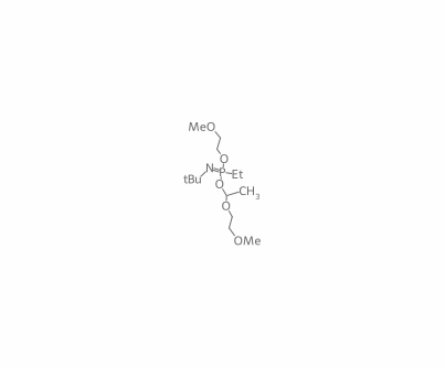 CCP(=NC(C)(C)C)(OCCOC)OC(C)OCCOC